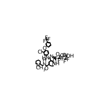 CN1CCCCC1CNC(=O)C1=Cc2c(ncnc2Nc2ccc(Oc3cccc(C(F)(F)F)c3)c(Cl)c2)NCC1.O=C(O)C(F)(F)F.O=C(O)C(F)(F)F